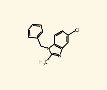 Cc1nc2cc(Cl)ccc2n1Cc1ccccc1